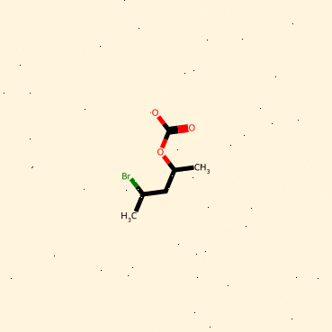 CC(Br)CC(C)OC([O])=O